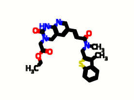 CCOC(=O)CN1Cc2cc(C=CC(=O)N(C)Cc3sc4ccccc4c3C)cnc2NC1=O